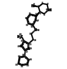 CC[C@H]1CCNC[C@H]1c1cccc(OCCc2nc(-c3ccccc3)oc2C)c1